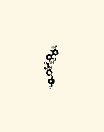 CNc1cccc(-c2cccc(NC(=O)c3nc4c(n3C)CCN(CC35CCC(C=O)(CC3)C5)C4)c2Cl)c1C